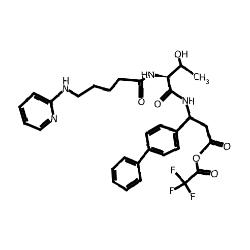 CC(O)[C@H](NC(=O)CCCCNc1ccccn1)C(=O)NC(CC(=O)OC(=O)C(F)(F)F)c1ccc(-c2ccccc2)cc1